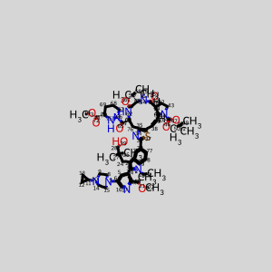 CCn1c(-c2cc(N3CCN(C4CC4)CC3)cnc2[C@H](C)OC)c(CC(C)(C)CO)c2cc(-c3nc4c(s3)C=C[C@@H]3[C@H](CCN3C(=O)OC(C)(C)C)C(=O)N(C)[C@@H](C(C)C)C(=O)N[C@H](C(=O)N3CCC[C@@H](C(=O)OC)N3)C4)ccc21